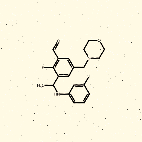 C[C](Nc1cccc(I)c1)c1cc(CN2CCOCC2)cc(C=O)c1F